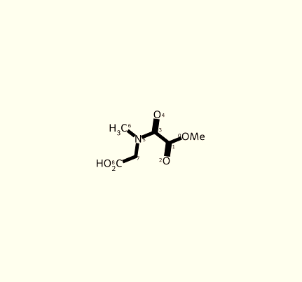 COC(=O)C(=O)N(C)CC(=O)O